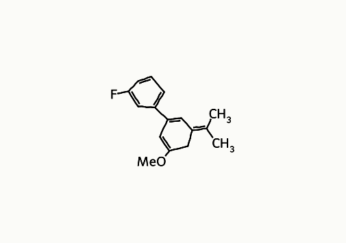 COC1=CC(c2cccc(F)c2)=CC(=C(C)C)C1